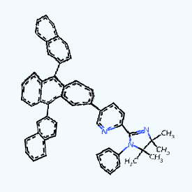 CC1(C)N=C(c2ccc(-c3ccc4c(-c5ccc6ccccc6c5)c5ccccc5c(-c5ccc6ccccc6c5)c4c3)cn2)N(c2ccccc2)C1(C)C